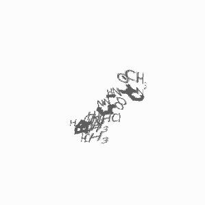 COc1ncccc1NC(=O)Cn1ncc(N[C@@H]2C[C@@H]3C[C@H]([C@H]2C)C3(C)C)c(Cl)c1=O